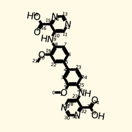 COc1cc(-c2ccc(Nc3cncnc3C(=O)O)c(OC)c2)ccc1Nc1cncnc1C(=O)O